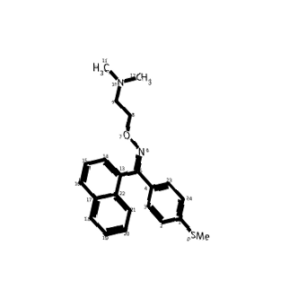 CSc1ccc(/C(=N/OCCN(C)C)c2cccc3ccccc23)cc1